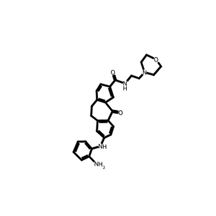 Nc1ccccc1Nc1ccc2c(c1)CCc1ccc(C(=O)NCCN3CCOCC3)cc1C2=O